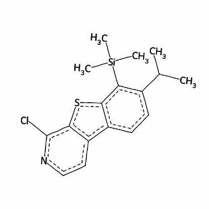 CC(C)c1ccc2c(sc3c(Cl)nccc32)c1[Si](C)(C)C